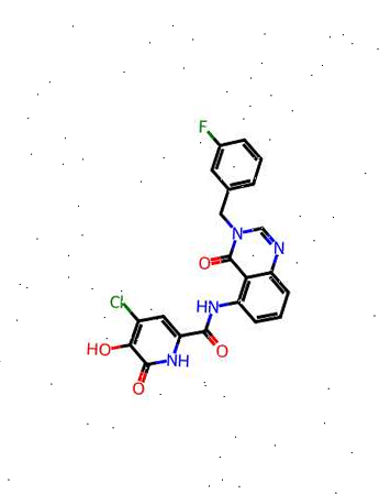 O=C(Nc1cccc2ncn(Cc3cccc(F)c3)c(=O)c12)c1cc(Cl)c(O)c(=O)[nH]1